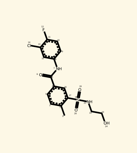 Cc1ccc(C(=O)Nc2ccc(F)c(Cl)c2)cc1S(=O)(=O)NCCO